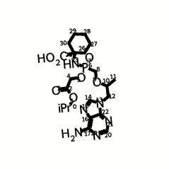 CC(C)OC(=O)COP(=O)(COC(C)Cn1cnc2c(N)ncnc21)NC1(C(=O)O)CCCCC1